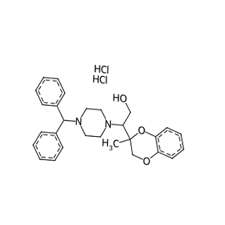 CC1(C(CO)N2CCN(C(c3ccccc3)c3ccccc3)CC2)COc2ccccc2O1.Cl.Cl